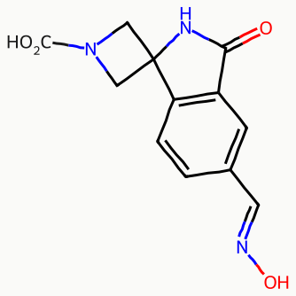 O=C1NC2(CN(C(=O)O)C2)c2ccc(C=NO)cc21